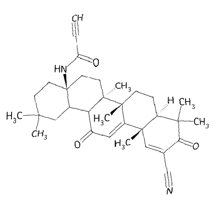 C#CC(=O)N[C@]12CCC(C)(C)CC1C1C(=O)C=C3[C@@]4(C)C=C(C#N)C(=O)C(C)(C)[C@@H]4CC[C@@]3(C)[C@]1(C)CC2